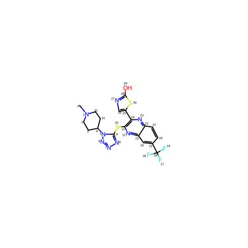 CN1CCC(n2nnnc2Sc2nc3cc(C(F)(F)F)ccc3nc2-c2cnc(O)s2)CC1